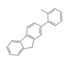 Cc1ccccc1-c1[c]c2c(cc1)-c1ccccc1C2